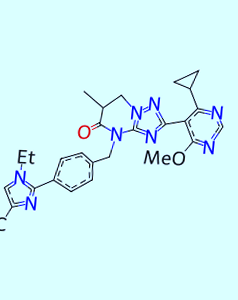 CCn1cc(C(F)(F)F)nc1-c1ccc(CN2C(=O)C(C)Cn3nc(-c4c(OC)ncnc4C4CC4)nc32)cc1